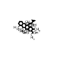 CC(O)C1C(C)CC2(C)C(CC(O)C3CC3)C3(C)C(C)C4CCCC(C)C4C(O)C3C(C)C2(C)C1O